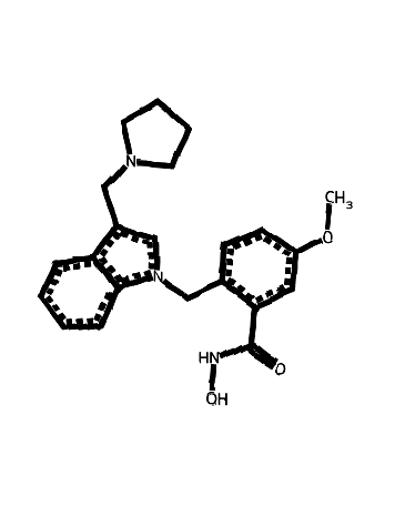 COc1ccc(Cn2cc(CN3CCCC3)c3ccccc32)c(C(=O)NO)c1